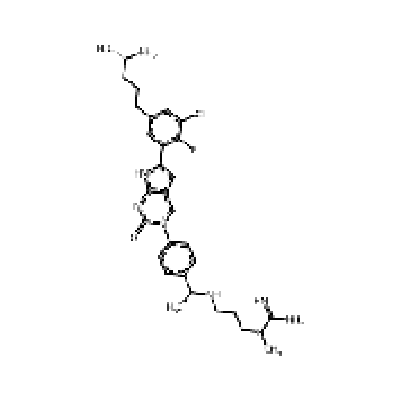 C[C@H](N)CCCc1cc(Cl)c(F)c(-c2cc3cn(-c4ccc([C@H](C)NCCCN(C)C(=N)N)cc4)c(=O)nc3[nH]2)c1